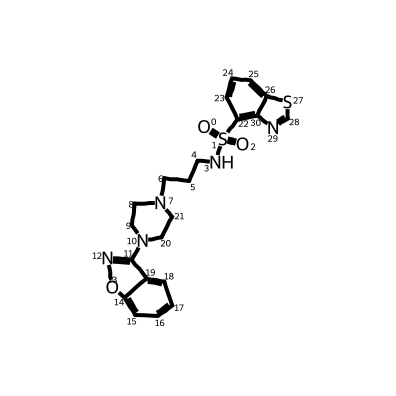 O=S(=O)(NCCCN1CCN(c2noc3ccccc23)CC1)c1cccc2scnc12